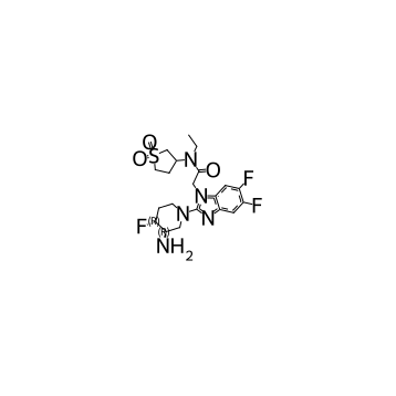 CCN(C(=O)Cn1c(N2CC[C@@H](F)[C@H](N)C2)nc2cc(F)c(F)cc21)C1CCS(=O)(=O)C1